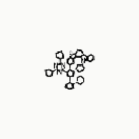 c1ccc(-c2nc(-c3ccccc3)nc(-c3cc(-c4ccccc4-c4ccccc4)ccc3-c3ccc4sc5ccc6c7ccccc7n(-c7ccccc7)c6c5c4c3)n2)cc1